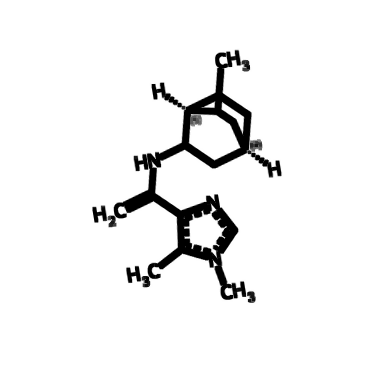 C=C(NC1C[C@@H]2CC[C@H]1C(C)C2)c1ncn(C)c1C